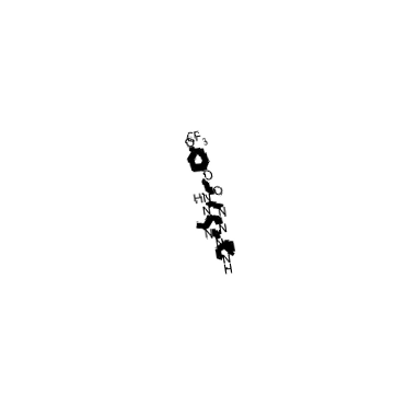 Cc1nc(N2CC3CC2CN3)nc2ncc(NC(=O)COc3ccc(OC(F)(F)F)cc3)nc12